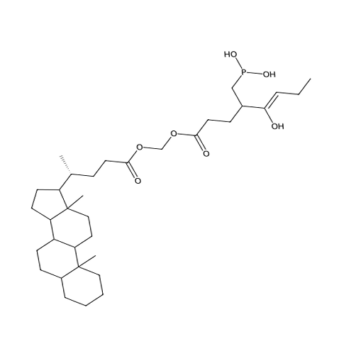 CC/C=C(\O)C(CCC(=O)OCOC(=O)CC[C@@H](C)C1CCC2C3CCC4CCCCC4(C)C3CCC21C)CP(O)O